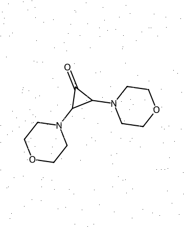 O=C1C(N2CCOCC2)C1N1CCOCC1